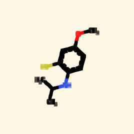 COc1ccc(NC(C)C)c(S)c1